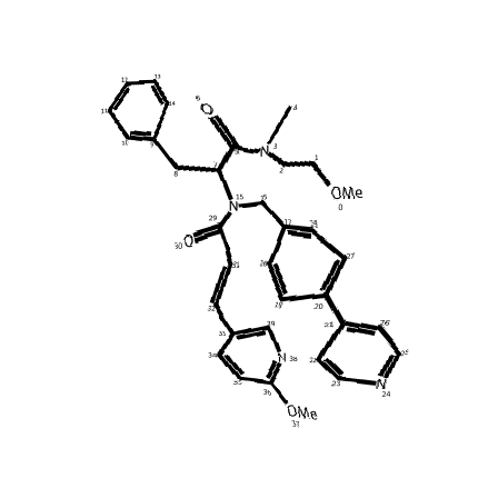 COCCN(C)C(=O)C(Cc1ccccc1)N(Cc1ccc(-c2ccncc2)cc1)C(=O)C=Cc1ccc(OC)nc1